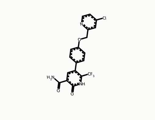 NC(=O)c1cc(-c2ccc(OCc3cc(Cl)ccn3)cc2)c(C(F)(F)F)[nH]c1=O